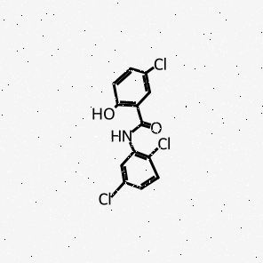 O=C(Nc1cc(Cl)ccc1Cl)c1cc(Cl)ccc1O